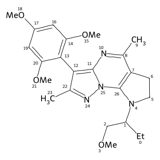 CCC(COC)N1CCc2c(C)nc3c(-c4c(OC)cc(OC)cc4OC)c(C)nn3c21